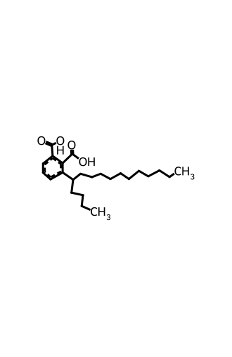 CCCCCCCCCCCC(CCCC)c1cccc(C(=O)O)c1C(=O)O